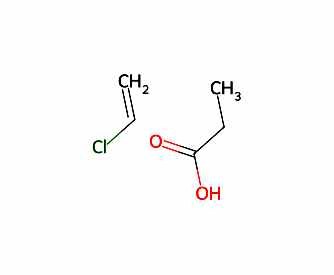 C=CCl.CCC(=O)O